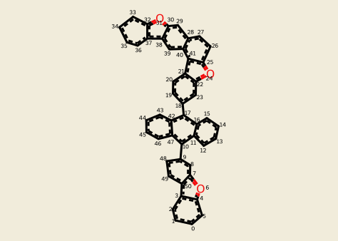 c1ccc2c(c1)oc1cc(-c3c4ccccc4c(-c4ccc5c(c4)oc4ccc6cc7oc8ccccc8c7cc6c45)c4ccccc34)ccc12